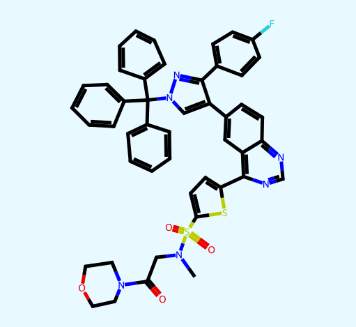 CN(CC(=O)N1CCOCC1)S(=O)(=O)c1ccc(-c2ncnc3ccc(-c4cn(C(c5ccccc5)(c5ccccc5)c5ccccc5)nc4-c4ccc(F)cc4)cc23)s1